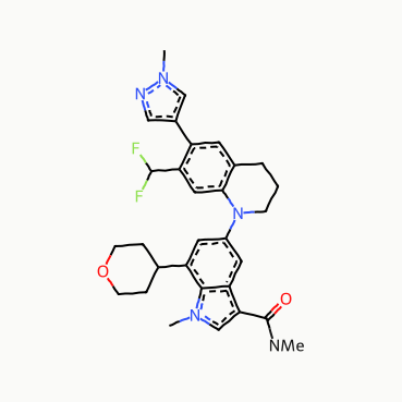 CNC(=O)c1cn(C)c2c(C3CCOCC3)cc(N3CCCc4cc(-c5cnn(C)c5)c(C(F)F)cc43)cc12